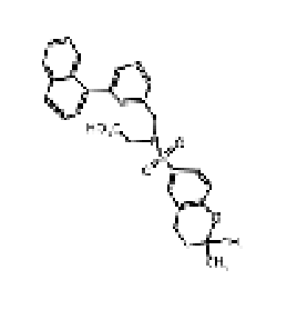 CC1(C)CCc2cc(S(=O)(=O)N(CC(=O)O)Cc3cccc(-c4cccc5ccccc45)c3)ccc2O1